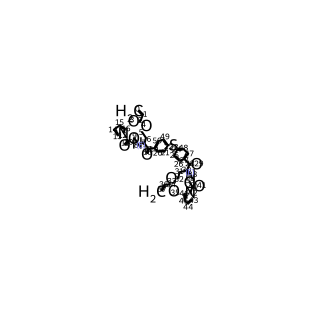 C=CC(=O)OCC/C(=N\OC(=O)n1cccc1)C(=O)c1ccc(Sc2ccc(C(=O)/C(CCOC(=O)C=C)=N/OC(=O)n3cccc3)cc2)cc1